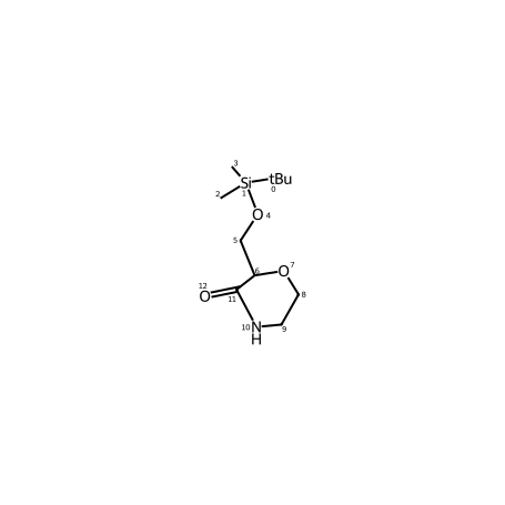 CC(C)(C)[Si](C)(C)OCC1OCCNC1=O